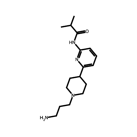 CC(C)C(=O)Nc1cccc(C2CCN(CCCN)CC2)n1